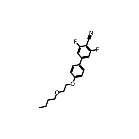 CCCCOCCOc1ccc(-c2cc(F)c(C#N)c(F)c2)cc1